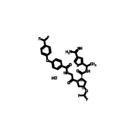 CC(NC(=O)[C@@H]1C[C@@H](OC(F)F)CN1C(=O)CNC(=O)c1ccc(Oc2ccc(C(F)F)cc2)cc1)c1cc(C(=N)N)cs1.Cl